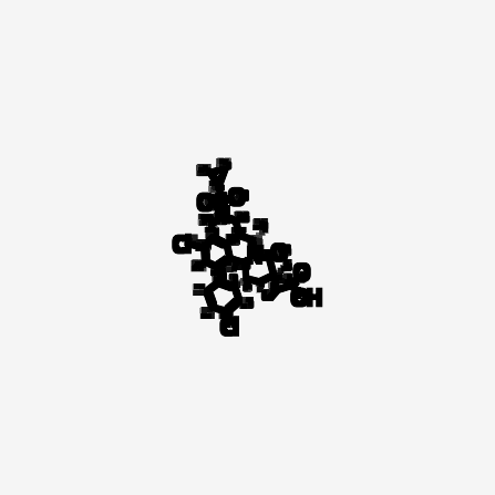 CC(C(=O)O)[C@@]1(C)C[C@H](c2cccc(Cl)c2)[C@@H](c2ccc(Cl)cc2)N([C@@H](C)CCN(C)S(=O)(=O)C2CC2)C1=O